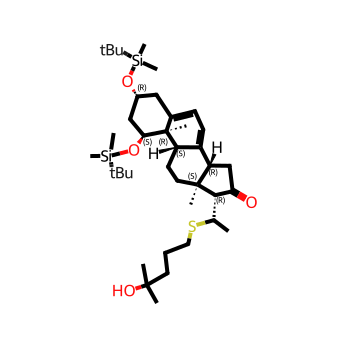 CC(SCCCC(C)(C)O)[C@H]1C(=O)C[C@H]2C3=CC=C4C[C@@H](O[Si](C)(C)C(C)(C)C)C[C@H](O[Si](C)(C)C(C)(C)C)[C@]4(C)[C@H]3CC[C@]12C